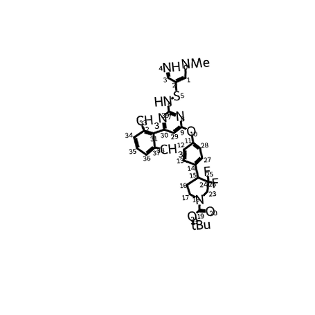 CN/C=C(\C=N)SNc1nc(Oc2ccc(C3CCN(C(=O)OC(C)(C)C)CC3(F)F)cc2)cc(-c2c(C)cccc2C)n1